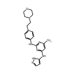 Cc1cc(Nc2ccn[nH]2)nc(Nc2ccc(CCN3CCOCC3)cc2)n1